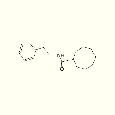 O=C(NCCc1ccccc1)C1CCCCCCC1